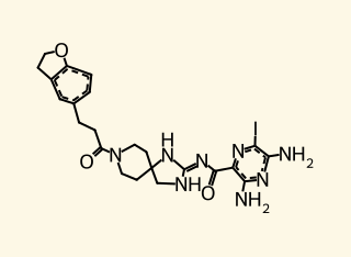 Nc1nc(N)c(C(=O)/N=C2\NCC3(CCN(C(=O)CCc4ccc5c(c4)CCO5)CC3)N2)nc1I